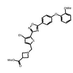 CCc1cc(CN2CC(C(=O)OC)C2)sc1-c1noc(-c2ccc(Oc3ccccc3OC)cc2)n1